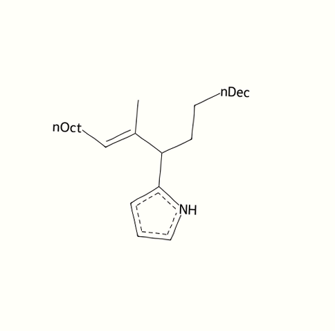 CCCCCCCCC=C(C)C(CCCCCCCCCCCC)c1ccc[nH]1